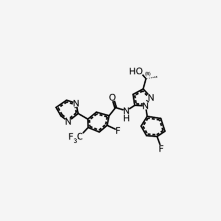 C[C@@H](O)c1cc(NC(=O)c2cc(-c3ncccn3)c(C(F)(F)F)cc2F)n(-c2ccc(F)cc2)n1